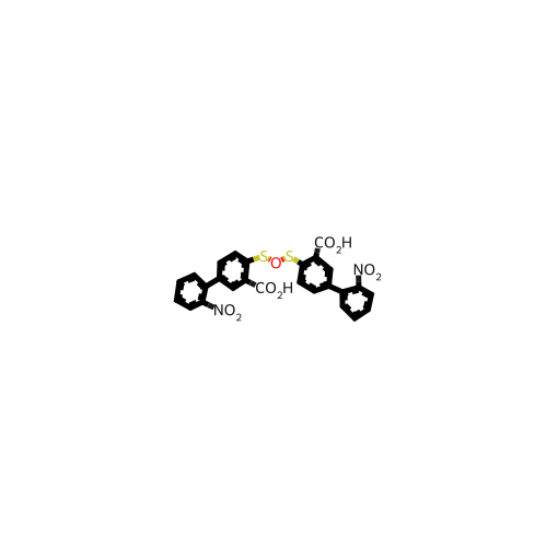 O=C(O)c1cc(-c2ccccc2[N+](=O)[O-])ccc1SOSc1ccc(-c2ccccc2[N+](=O)[O-])cc1C(=O)O